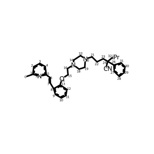 Cc1cccc(C=Cc2ccccc2OCCN2CCN(CCCC(C#N)(c3ccccc3)C(C)C)CC2)n1